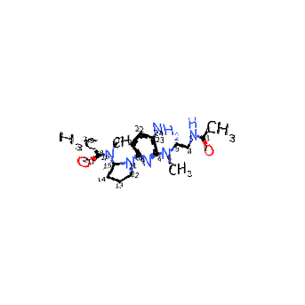 CC(=O)NCCN(C)c1nc(N2CCCC2N(C)C(C)=O)ccc1N